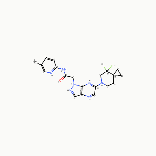 N#Cc1ccc(NC(=O)Cn2ncc3ncc(N4CCC5(CC5)C(F)(F)C4)nc32)nc1